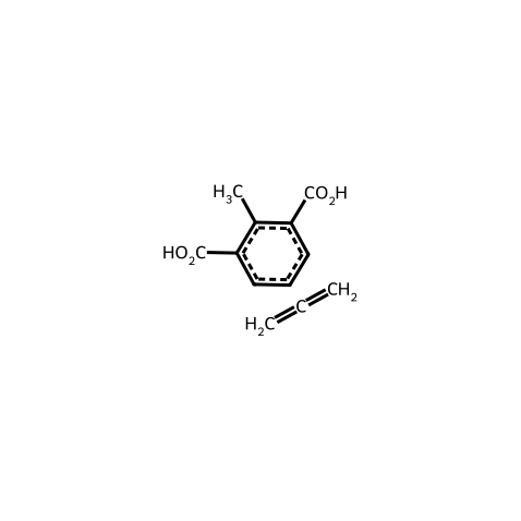 C=C=C.Cc1c(C(=O)O)cccc1C(=O)O